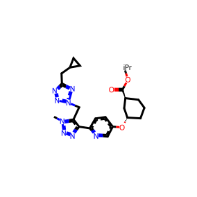 CC(C)OC(=O)[C@H]1CCC[C@H](Oc2ccc(-c3nnn(C)c3Cn3nnc(CC4CC4)n3)nc2)C1